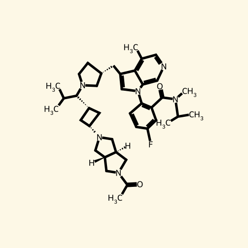 CC(=O)N1C[C@@H]2CN([C@H]3C[C@@H](C(C(C)C)N4CC[C@H](Cc5cn(-c6ccc(F)cc6C(=O)N(C)C(C)C)c6cncc(C)c56)C4)C3)C[C@H]2C1